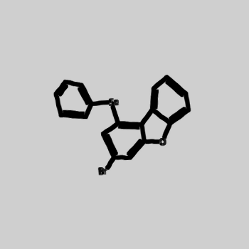 Brc1cc([Se]c2ccccc2)c2c(c1)oc1ccccc12